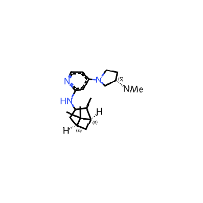 CN[C@H]1CCN(c2ccnc(NC3C[C@@H]4C[C@H](C3C)C4(C)C)c2)C1